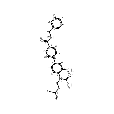 CC(=O)N(CCC(F)F)c1ccc(-c2ccc(C(=O)NCc3cccnc3)cn2)cc1C